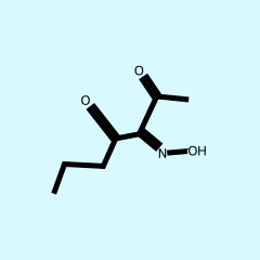 CCCC(=O)C(=NO)C(C)=O